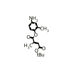 CC(=CC(=O)OC(C)(C)C)C(=O)Oc1ccc(N)cc1C